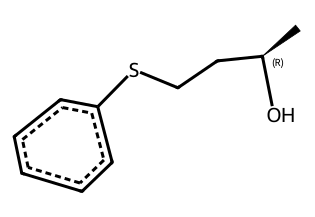 C[C@@H](O)CCSc1ccccc1